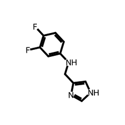 Fc1ccc(NCc2c[nH]cn2)cc1F